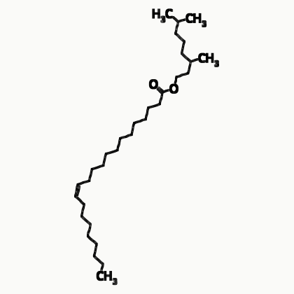 CCCCCCCC/C=C\CCCCCCCCCCCC(=O)OCCC(C)CCCC(C)C